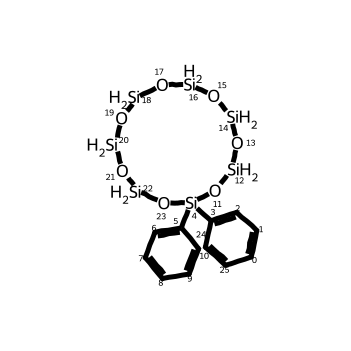 c1ccc([Si]2(c3ccccc3)O[SiH2]O[SiH2]O[SiH2]O[SiH2]O[SiH2]O[SiH2]O2)cc1